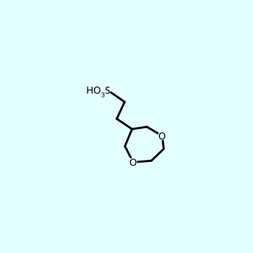 O=S(=O)(O)CCC1COCCOC1